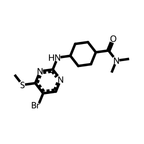 CSc1nc(NC2CCC(C(=O)N(C)C)CC2)ncc1Br